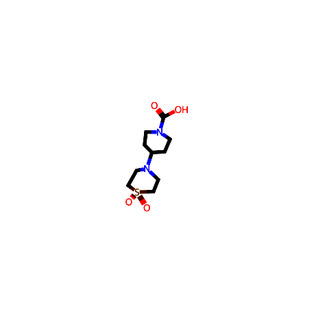 O=C(O)N1CCC(N2CCS(=O)(=O)CC2)CC1